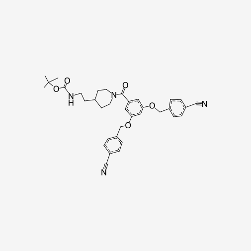 CC(C)(C)OC(=O)NCCC1CCN(C(=O)c2cc(OCc3ccc(C#N)cc3)cc(OCc3ccc(C#N)cc3)c2)CC1